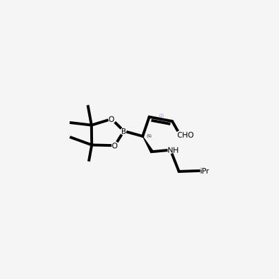 CC(C)CNC[C@H](/C=C\C=O)B1OC(C)(C)C(C)(C)O1